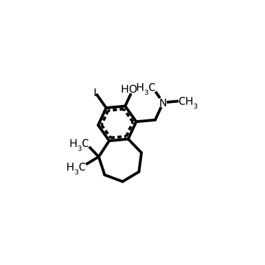 CN(C)Cc1c(O)c(I)cc2c1CCCCC2(C)C